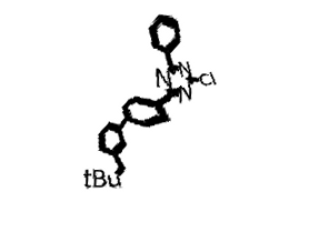 CC(C)(C)Cc1cccc(-c2ccc(-c3nc(Cl)nc(-c4ccccc4)n3)cc2)c1